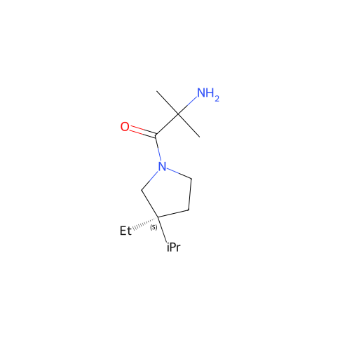 CC[C@@]1(C(C)C)CCN(C(=O)C(C)(C)N)C1